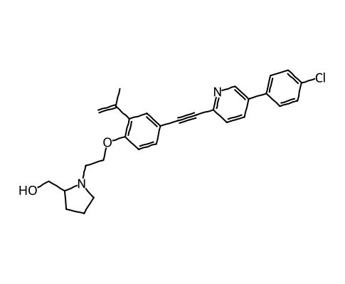 C=C(C)c1cc(C#Cc2ccc(-c3ccc(Cl)cc3)cn2)ccc1OCCN1CCCC1CO